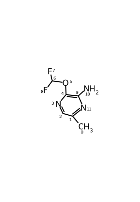 Cc1cnc(OC(F)F)c(N)n1